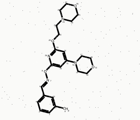 Cc1cccc(C=NOc2cc(N3CCOCC3)cc(OCCN3CCOCC3)n2)c1